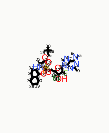 Cc1nc(N(C)C)c2ncn([C@@H]3O[C@](CCl)(CO[P@](=S)(N[C@@H](C)C(=O)OCC(C)(C)C)Oc4cccc5ccccc45)[C@@H](O)[C@H]3F)c2n1